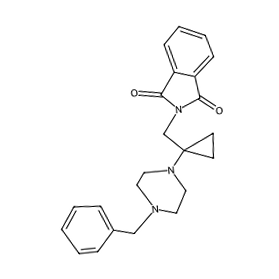 O=C1c2ccccc2C(=O)N1CC1(N2CCN(Cc3ccccc3)CC2)CC1